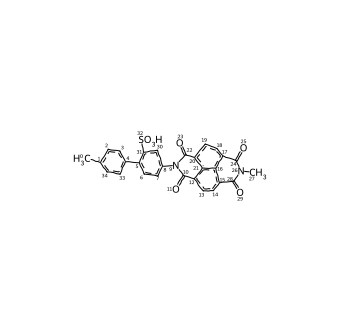 Cc1ccc(-c2ccc(N3C(=O)c4ccc5c6c(ccc(c46)C3=O)C(=O)N(C)C5=O)cc2S(=O)(=O)O)cc1